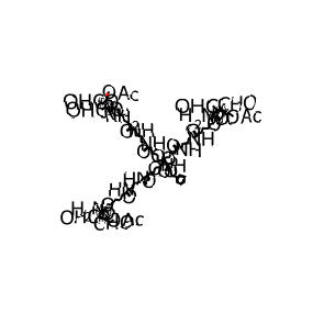 CC(=O)OCC1O[C@@H](OCCCCC(=O)NCCCNC(=O)CCOCC(COCCC(=O)NCCCNC(=O)CCCCO[C@@H]2OC(COC(C)=O)[C@H](C=O)C(C=O)[C@@H]2N)(COCCC(=O)NCCCNC(=O)CCCCO[C@@H]2OC(COC(C)=O)[C@H](C=O)C(C=O)[C@@H]2N)NC(=O)OCc2ccccc2)[C@@H](N)C(C=O)[C@H]1C=O